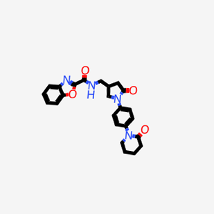 O=C(NCC1CC(=O)N(c2ccc(N3CCCCC3=O)cc2)C1)c1nc2ccccc2o1